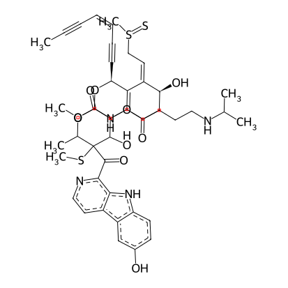 CC#C/C=C\C#C[C@H](OC1OC(C)C(SC)(C(=O)c2nccc3c2[nH]c2ccc(O)cc23)C(O)C1OCCCCNC(C)C)C1=C(NC(=O)OC)C(=O)C[C@H](O)/C1=C/CS(C)=S